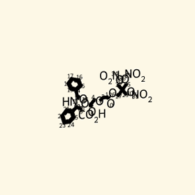 O=C(COCC(=O)O[C@@H](C(=O)O)[C@@H](NC(=O)c1ccccc1)c1ccccc1)OCC(CO[N+](=O)[O-])(CO[N+](=O)[O-])CO[N+](=O)[O-]